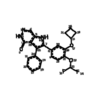 O=c1[nH]ncc2[nH]c(-c3ccc(OC(F)F)c(OC4CCC4)c3)c(-c3ccccc3)c12